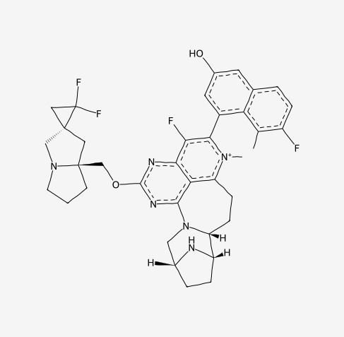 Cc1c(F)ccc2cc(O)cc(-c3c(F)c4nc(OC[C@@]56CCCN5C[C@@]5(CC5(F)F)C6)nc5c4c([n+]3C)CC[C@@H]3[C@@H]4CC[C@H](CN53)N4)c12